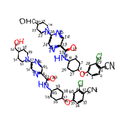 N#Cc1ccc(OC2CCC(NC(=O)c3cnc(N4CCC(C=O)CC4)cn3)CC2)cc1Cl.N#Cc1ccc(OC2CCC(NC(=O)c3cnc(N4CCC(CO)CC4)cn3)CC2)cc1Cl